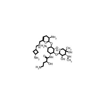 CN[C@@H]1[C@@H](O)[C@@H](O[C@@H]2[C@@H](O)[C@H](O[C@H]3OC(CNC[C@H]4C[C@H](N)C4)=CC[C@H]3N)[C@@H](N)C[C@H]2NC(=O)[C@@H](O)CCN)OC[C@]1(C)O